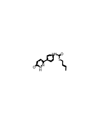 CC=CCSC(=O)Nc1ccc(-c2ccc(=O)[nH]n2)cc1